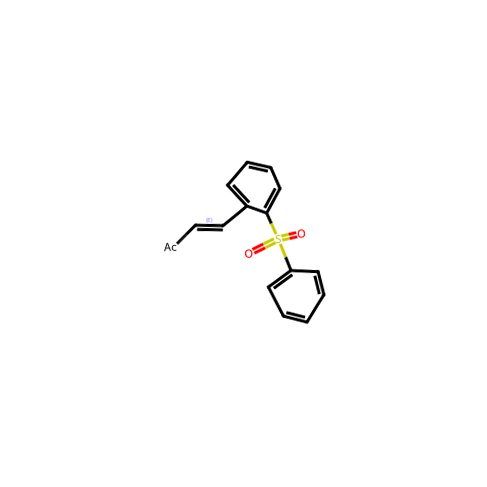 CC(=O)/C=C/c1ccccc1S(=O)(=O)c1ccccc1